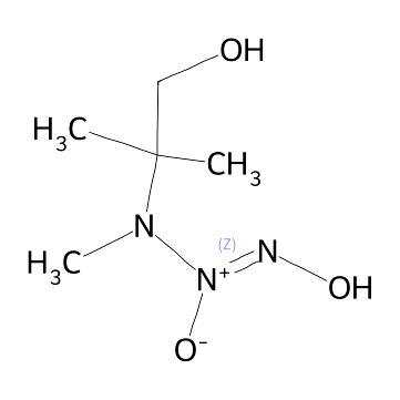 CN(/[N+]([O-])=N/O)C(C)(C)CO